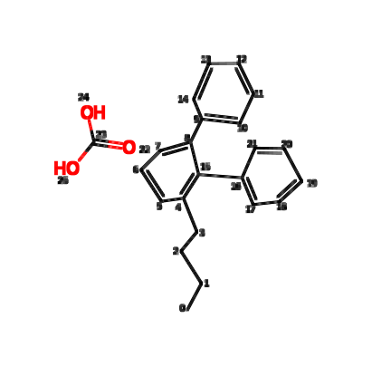 CCCCc1cccc(-c2ccccc2)c1-c1ccccc1.O=C(O)O